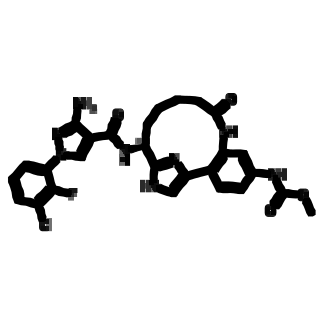 COC(=O)Nc1ccc2c(c1)NC(=O)CCCC[C@H](NC(=O)c1cn(-c3cccc(Cl)c3F)nc1N)c1nc-2c[nH]1